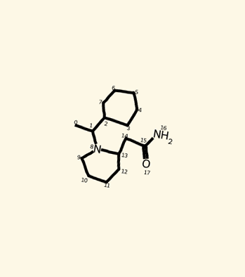 CC(C1CCCCC1)N1CCCCC1CC(N)=O